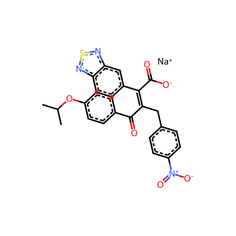 CC(C)Oc1ccc(C(=O)/C(Cc2ccc([N+](=O)[O-])cc2)=C(/C(=O)[O-])c2ccc3nsnc3c2)cc1.[Na+]